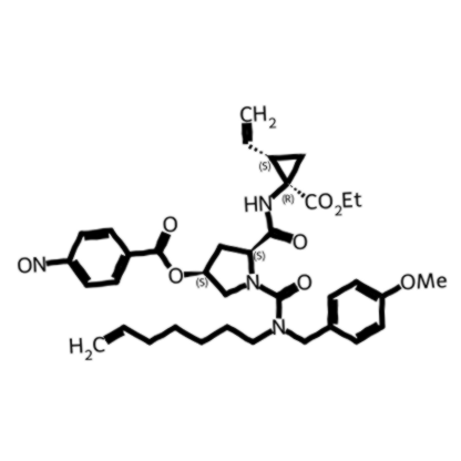 C=CCCCCCN(Cc1ccc(OC)cc1)C(=O)N1C[C@@H](OC(=O)c2ccc(N=O)cc2)C[C@H]1C(=O)N[C@]1(C(=O)OCC)C[C@H]1C=C